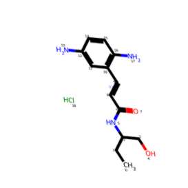 CCC(CO)NC(=O)/C=C/c1cc(N)ccc1N.Cl